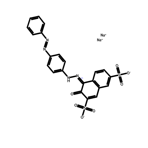 O=C1C(S(=O)(=O)[O-])=Cc2cc(S(=O)(=O)[O-])ccc2/C1=N/Nc1ccc(N=Nc2ccccc2)cc1.[Na+].[Na+]